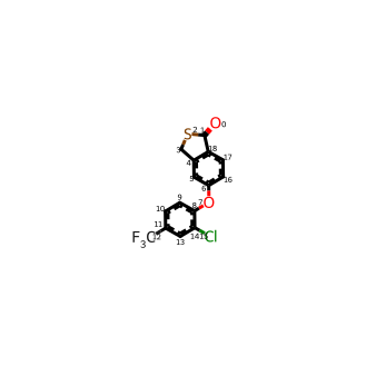 O=C1SCc2cc(Oc3ccc(C(F)(F)F)cc3Cl)ccc21